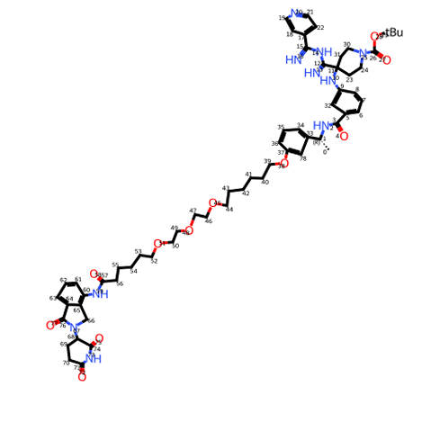 C[C@@H](NC(=O)c1cccc(NC2(C(=N)NC(=N)c3ccncc3)CCN(C(=O)OC(C)(C)C)CC2)c1)c1cccc(OCCCCCCOCCOCCOCCCCCC(=O)Nc2cccc3c2CN(C2CCC(=O)NC2=O)C3=O)c1